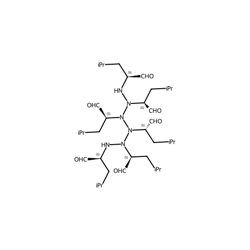 CC(C)C[C@@H](C=O)NN([C@H](C=O)CC(C)C)N([C@H](C=O)CC(C)C)N([C@H](C=O)CC(C)C)N(N[C@H](C=O)CC(C)C)[C@H](C=O)CC(C)C